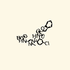 CC1=NC(N[SH](=O)=O)=C[N+]1(C)c1ccc(Cl)cc1NS(=O)(=O)c1cc2ccccc2o1